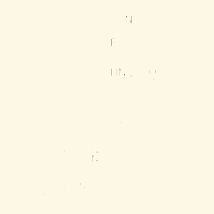 CC(C)(C)OC(=O)N[C@H]1CCc2cc(NC(=O)c3cccnc3F)ccc2C1